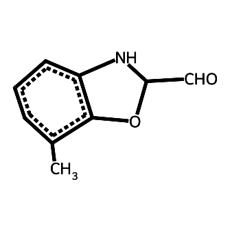 Cc1cccc2c1OC(C=O)N2